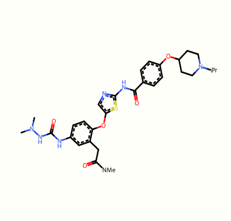 CNC(=O)Cc1cc(NC(=O)NN(C)C)ccc1Oc1cnc(NC(=O)c2ccc(OC3CCN(C(C)C)CC3)cc2)s1